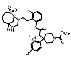 COC(=O)N1CCC(c2ccc(Cl)cc2)([C@H](N)C(=O)Nc2cccc(F)c2CC[C@H]2CN[C@@H]3CCCS(=O)(=O)N2C3)CC1